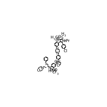 Cc1c(S(C)(=O)=O)c(-c2cccc(N3CCN(c4ccc(N5CCO[P@@]5(=O)c5ccc(N[C@H](CCN6CCOCC6)CSc6ccccc6)c(S(=O)(=O)C(F)(F)F)c5)cc4)CC3)c2)c(-c2ccc(Cl)cc2)n1C(C)C